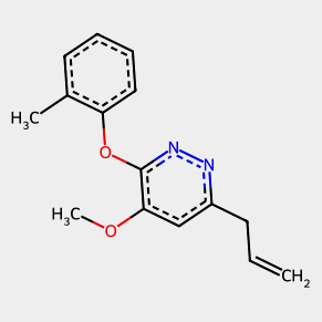 C=CCc1cc(OC)c(Oc2ccccc2C)nn1